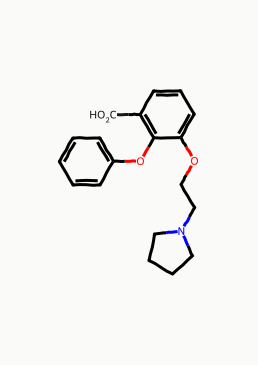 O=C(O)c1cccc(OCCN2CCCC2)c1Oc1ccccc1